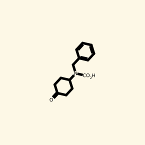 O=C1CCC(N(Cc2ccccc2)C(=O)O)CC1